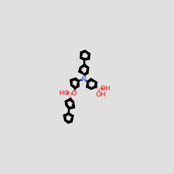 OB(O)c1ccc(N(c2ccc(-c3ccccc3)cc2)c2cccc(OB(O)c3ccc(-c4ccccc4)cc3)c2)cc1